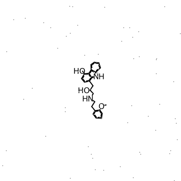 COc1ccccc1CCNCC(O)Cc1ccc(O)c2c1[nH]c1ccccc12